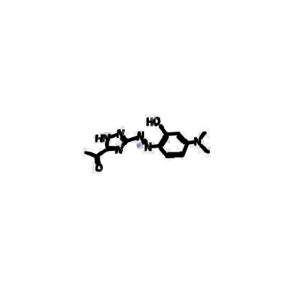 CC(=O)c1nc(/N=N/c2ccc(N(C)C)cc2O)n[nH]1